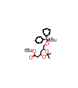 CC(C)(C)OC(=O)CC1CC(CO[Si](c2ccccc2)(c2ccccc2)C(C)(C)C)OC(C)(C)O1